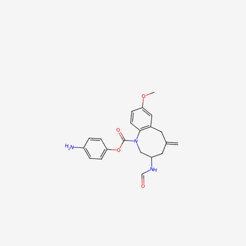 C=C1Cc2cc(OC)ccc2N(C(=O)Oc2ccc(N)cc2)CC(NC=O)C1